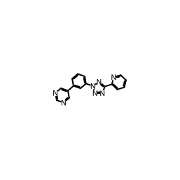 c1ccc(-c2nnn(-c3cccc(-c4cncnc4)c3)n2)nc1